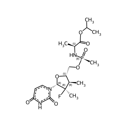 CC(C)OC(=O)[C@H](C)N[P@](C)(=O)OC[C@H]1O[C@@H](n2ccc(=O)[nH]c2=O)[C@](C)(F)[C@@H]1C